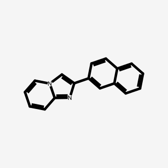 c1ccc2cc(-c3cn4ccccc4n3)ccc2c1